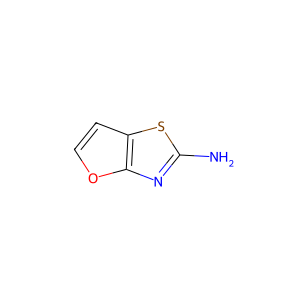 Nc1nc2occc2s1